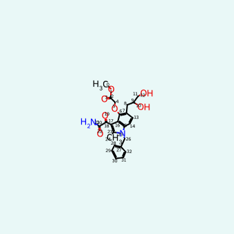 COC(=O)COc1c(CC(O)CO)ccc2c1c(C(=O)C(N)=O)c(C)n2Cc1ccccc1